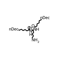 CCCCCCCCCCCCCCCC(=O)NC(CC)(CCCCN)NC(=O)CCCCCCCCCCCCCCC